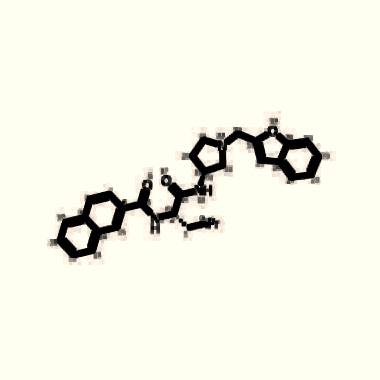 CC(C)C[C@H](NC(=O)c1ccc2ccccc2c1)C(=O)N[C@H]1CCN(Cc2cc3ccccc3o2)C1